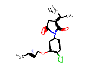 C/C=C/COc1cc(N2C(=O)CC(=C(C)C)C2=O)ccc1Cl